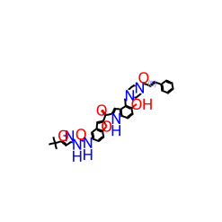 CC(C)(C)c1cc(NC(=O)Nc2ccc3oc(C(=O)c4cc5c(CN6CCN(C(=O)/C=C/c7ccccc7)CC6)c(O)ccc5[nH]4)cc3c2)no1